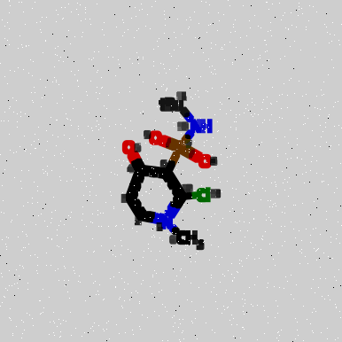 Cn1ccc(=O)c(S(=O)(=O)NC(C)(C)C)c1Cl